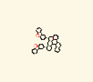 c1ccc(-c2ccc3ccccc3c2-c2c3cccc(-c4ccc5oc6ccccc6c5c4)c3cc3c(-c4ccc5oc6ccccc6c5c4)cccc23)cc1